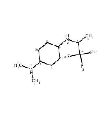 CC(NC1CCC([SH](C)C)CC1)C(F)(F)F